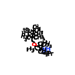 CC(C)CNC(C)(C)C(C)(C)OCCC(C)(C)C(C)(C)C(C)(C)C(C)(C)C